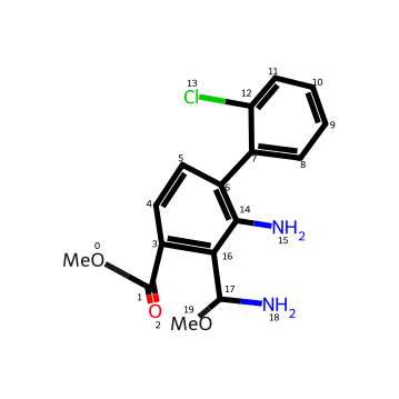 COC(=O)c1ccc(-c2ccccc2Cl)c(N)c1C(N)OC